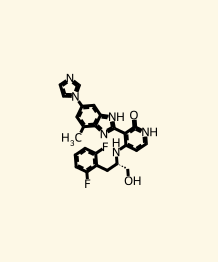 Cc1cc(-n2ccnc2)cc2[nH]c(-c3c(N[C@H](CO)Cc4c(F)cccc4F)cc[nH]c3=O)nc12